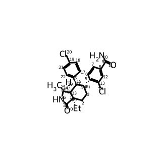 CC[C@@]12CC[C@@H](c3ccc(C(N)=O)cc3Cl)[C@H](c3ccc(Cl)cc3)[C@@H]1[C@@H](C)NC2=O